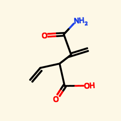 C=CC(C(=C)C(N)=O)C(=O)O